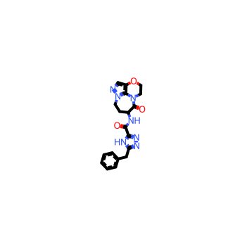 O=C(NC1CCn2ncc3c2N(CCO3)C1=O)c1nnc(Cc2ccccc2)[nH]1